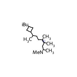 CCC(C)C1CC(C(C)CC/C(C)=C(/C)CC(C)NC)C1